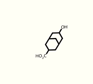 O=C(O)C1CC2CC(O)CC(C2)C1